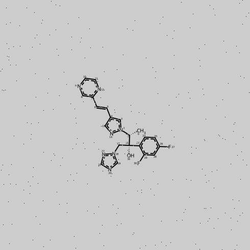 C[C@@H](n1cc(C=Cc2cnccn2)cn1)[C@](O)(Cn1cncn1)c1ccc(F)cc1F